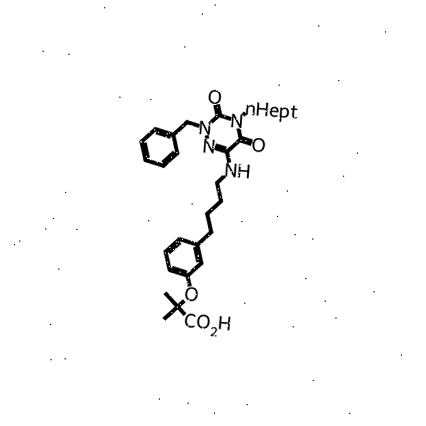 CCCCCCCn1c(=O)c(NCCCCc2cccc(OC(C)(C)C(=O)O)c2)nn(Cc2ccccc2)c1=O